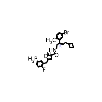 Cc1ccc(Br)cc1/C(=C\CC1CCC1)CCNC(=O)c1cc(Cc2cc(P)ccc2F)on1